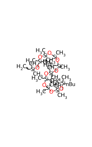 C=C[Si](C)(C)O[Si](C)(C)O[Si](C)(C)O[Si](C)(C)O[Si](C)(C)O[Si](C)(C)O[Si](C)(C)O[Si](C)(C)O[Si](C)(C)O[Si](C)(C)CCCC